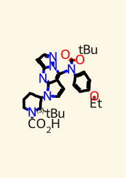 CCOc1ccc(N(C(=O)OC(C)(C)C)c2c3ccn(C4CCCN(C(=O)O)[C@H]4C(C)(C)C)c3nc3ccnn23)cc1